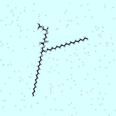 CCCCCCCCCCCCCCCCCCOCC(COC(=O)NCCCON(C)COC(C)C)OCCCCCCCCCCCCCCCCCC